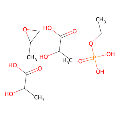 CC(O)C(=O)O.CC(O)C(=O)O.CC1CO1.CCOP(=O)(O)O